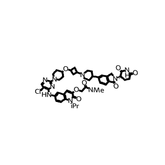 CNC(=O)COc1cc2cc(Nc3nc(N4CCC(OC5CC(N6CCC(c7ccc8c(c7)CN([C@@H]7CCC(=O)NC7=O)C8=O)CC6)C5)CC4)ncc3Cl)ccc2n(C(C)C)c1=O